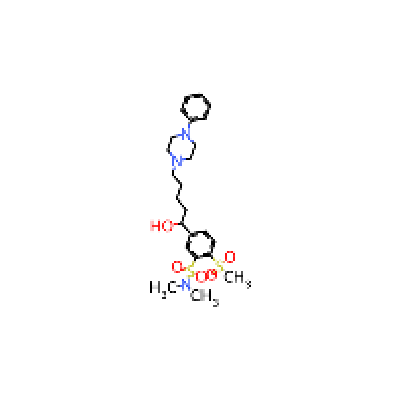 CN(C)S(=O)(=O)c1cc(C(O)CCCCN2CCN(c3ccccc3)CC2)ccc1S(C)(=O)=O